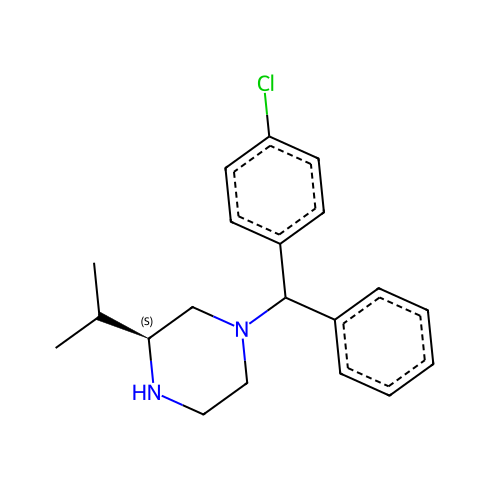 CC(C)[C@H]1CN(C(c2ccccc2)c2ccc(Cl)cc2)CCN1